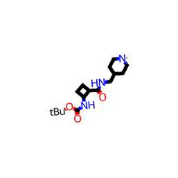 CC(C)(C)OC(=O)NC1CCC1C(=O)NCC1CC[N]CC1